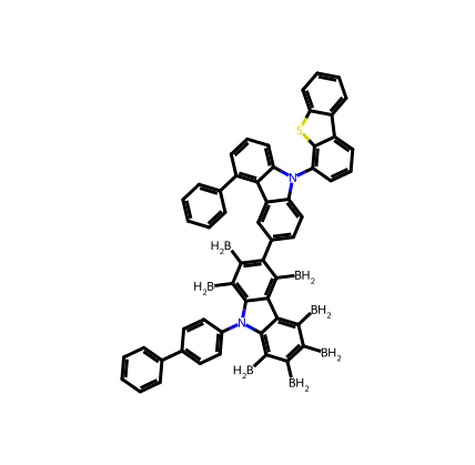 Bc1c(B)c(B)c2c(c1B)c1c(B)c(-c3ccc4c(c3)c3c(-c5ccccc5)cccc3n4-c3cccc4c3sc3ccccc34)c(B)c(B)c1n2-c1ccc(-c2ccccc2)cc1